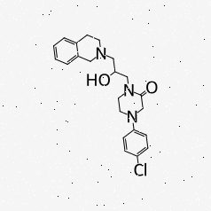 O=C1CN(c2ccc(Cl)cc2)CCN1CC(O)CN1CCc2ccccc2C1